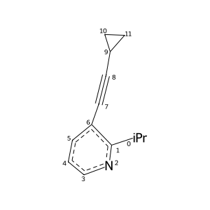 CC(C)c1ncccc1C#CC1CC1